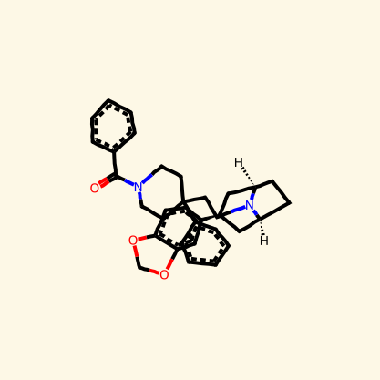 O=C(c1ccccc1)N1CCC(CCN2[C@@H]3CC[C@H]2C[C@@H](c2ccc4c(c2)OCO4)C3)(c2ccccc2)CC1